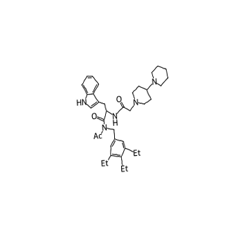 CCc1cc(CN(C(C)=O)C(=O)C(Cc2c[nH]c3ccccc23)NC(=O)CN2CCC(N3CCCCC3)CC2)cc(CC)c1CC